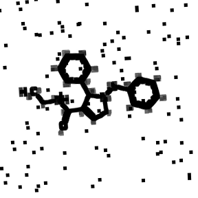 CCNC(=O)C1=CCN(Sc2ccccc2)C1c1ccccc1